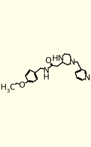 CCOc1ccc(CNC(=O)CC2CN(Cc3cccnc3)CCN2)cc1